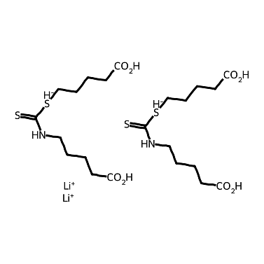 O=C(O)CCCCNC(=S)[SH-]CCCCC(=O)O.O=C(O)CCCCNC(=S)[SH-]CCCCC(=O)O.[Li+].[Li+]